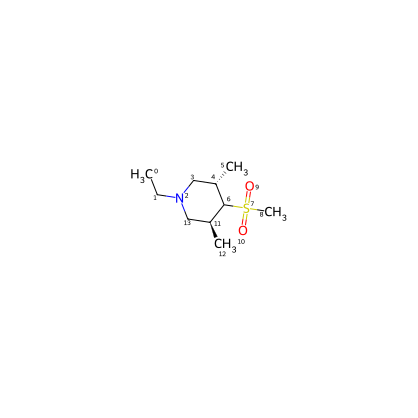 CCN1C[C@H](C)C(S(C)(=O)=O)[C@@H](C)C1